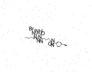 C#Cc1ccc(-c2noc(CCCc3nnc4n(CCCCC)c5nc(Br)[nH]c5c(=O)n34)n2)cc1